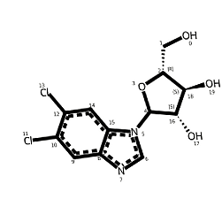 OC[C@H]1OC(n2cnc3cc(Cl)c(Cl)cc32)[C@@H](O)[C@@H]1O